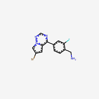 NCc1ccc(-c2ncnn3cc(Br)cc23)cc1F